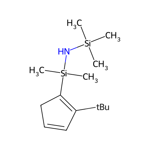 CC(C)(C)C1=C([Si](C)(C)N[Si](C)(C)C)CC=C1